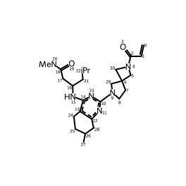 C=CC(=O)N1CC2(CCN(c3nc4c(c(NC(CC(=O)NC)CC(C)C)n3)CCC(C)C4)C2)C1